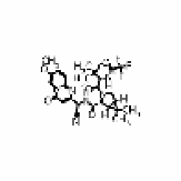 COc1ccc2nc(C(C#N)NC(=O)[C@@H]3[C@@H]4[C@H](CN3C(=O)[C@@H](NC(=O)C(F)(F)F)C(C)(C)C)C4(C)C)cc(=O)n2c1